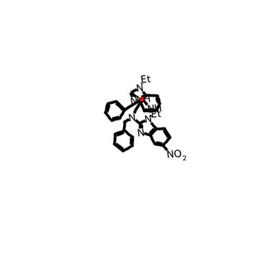 CCn1c2nc3cc(ccc31)NC(c1ccccc1)(N(Cc1ccccc1)c1nc3cc([N+](=O)[O-])ccc3n1CC)N2